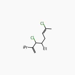 C=C(C(C)C)C(Cl)C(CC)C/C=C(\C)Cl